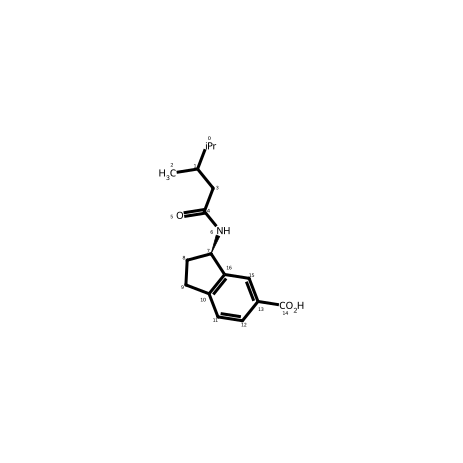 CC(C)C(C)CC(=O)N[C@@H]1CCc2ccc(C(=O)O)cc21